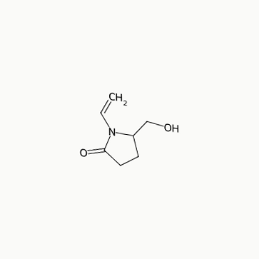 C=CN1C(=O)CCC1CO